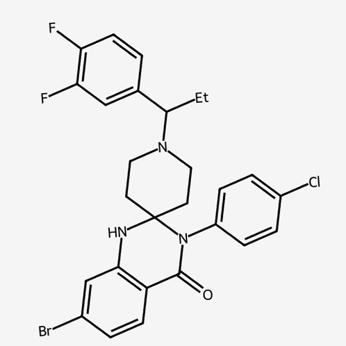 CCC(c1ccc(F)c(F)c1)N1CCC2(CC1)Nc1cc(Br)ccc1C(=O)N2c1ccc(Cl)cc1